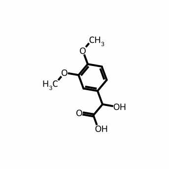 COc1ccc(C(O)C(=O)O)cc1OC